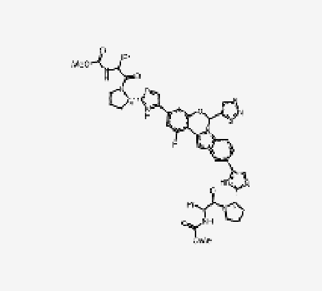 COC(=O)NC(C(=O)N1CCC[C@H]1c1ncc(-c2cc(F)c3c(c2)OC(c2cnns2)n2c-3cc3cc(-c4cnc([C@@H]5CCCN5C(=O)C(NC(=O)OC)C(C)C)[nH]4)ccc32)[nH]1)C(C)C